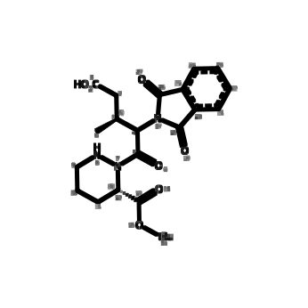 C[C@@H](CC(=O)O)C(C(=O)N1NCCC[C@H]1C(=O)OC(C)(C)C)N1C(=O)c2ccccc2C1=O